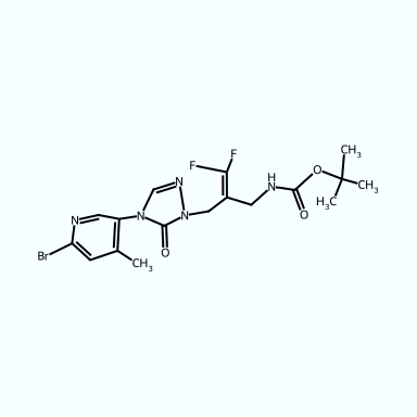 Cc1cc(Br)ncc1-n1cnn(CC(CNC(=O)OC(C)(C)C)=C(F)F)c1=O